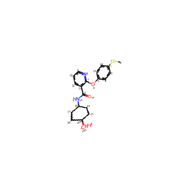 CSc1ccc(Oc2ncccc2C(=O)NC2CCC(O)CC2)cc1